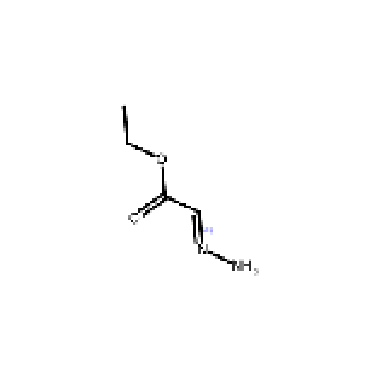 CCOC(=O)/C=N/N